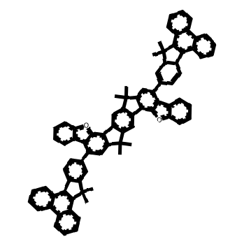 CC1(C)c2cc3c(cc2-c2c1cc(C1=CC4C(C=C1)c1c(c5ccccc5c5ccccc15)C4(C)C)c1c2oc2ccccc21)C(C)(C)c1cc(-c2ccc4c(c2)C(C)(C)c2c-4c4ccccc4c4ccccc24)c2c(oc4ccccc42)c1-3